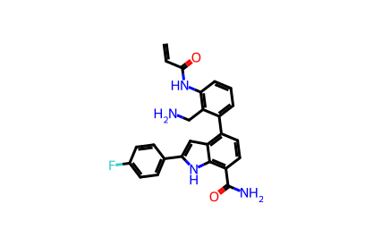 C=CC(=O)Nc1cccc(-c2ccc(C(N)=O)c3[nH]c(-c4ccc(F)cc4)cc23)c1CN